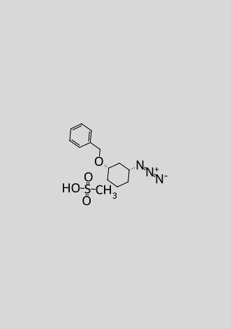 CS(=O)(=O)O.[N-]=[N+]=N[C@@H]1CCC[C@H](OCc2ccccc2)C1